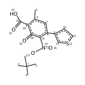 CC(C)(C)C.Cc1cc(-c2ccsc2)c([N+](=O)[O-])c(=O)n1C(=O)O